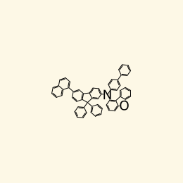 c1ccc(-c2ccc(N(c3ccc4c(c3)C(c3ccccc3)(c3ccccc3)c3ccc(-c5cccc6ccccc56)cc3-4)c3cccc4oc5ccccc5c34)cc2)cc1